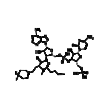 C=CCCC(=O)N(C)C(CCN1CCC(F)(F)CC1)C(=O)O[C@H]1[C@@H](O)[C@H](n2cnc3c(N)ncnc32)O[C@@H]1COP(=O)(O)O[C@H]1[C@@H](O)[C@H](n2ccc(N)nc2=O)O[C@@H]1COP(=O)(O)O